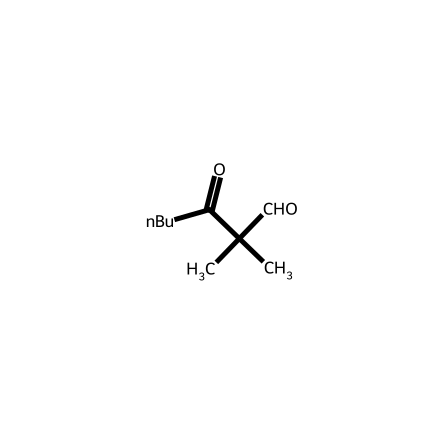 CCCCC(=O)C(C)(C)C=O